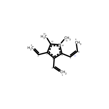 C=Cc1c(C=C)c(/C=C\C)n(C)c1C